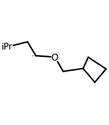 CC(C)C[CH]OCC1CCC1